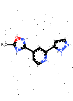 FC(F)(F)c1nc(-c2ccnc(-c3ccn[nH]3)c2)no1